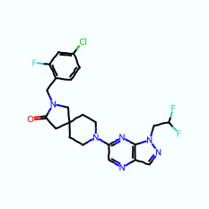 O=C1CC2(CCN(c3cnc4cnn(CC(F)F)c4n3)CC2)CN1Cc1ccc(Cl)cc1F